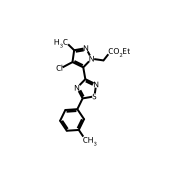 CCOC(=O)Cn1nc(C)c(Cl)c1-c1nsc(-c2cccc(C)c2)n1